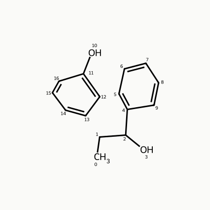 CCC(O)c1ccccc1.Oc1ccccc1